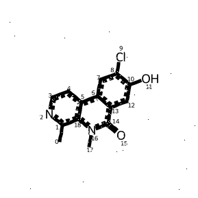 Cc1nccc2c3cc(Cl)c(O)cc3c(=O)n(C)c12